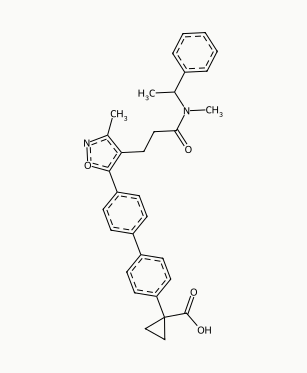 Cc1noc(-c2ccc(-c3ccc(C4(C(=O)O)CC4)cc3)cc2)c1CCC(=O)N(C)C(C)c1ccccc1